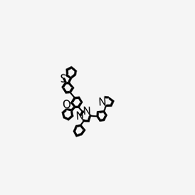 c1ccc(-c2cc(-c3cccc(-c4ccccn4)c3)nc(-c3ccc(-c4ccc5sc6ccccc6c5c4)c4oc5ccccc5c34)n2)cc1